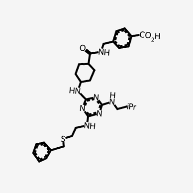 CC(C)CNc1nc(NCCSCc2ccccc2)nc(NC2CCC(C(=O)NCc3ccc(C(=O)O)cc3)CC2)n1